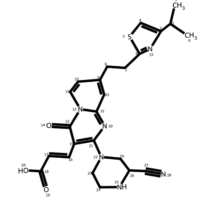 CC(C)c1csc(CCc2ccn3c(=O)c(C=CC(=O)O)c(N4CCNC(C#N)C4)nc3c2)n1